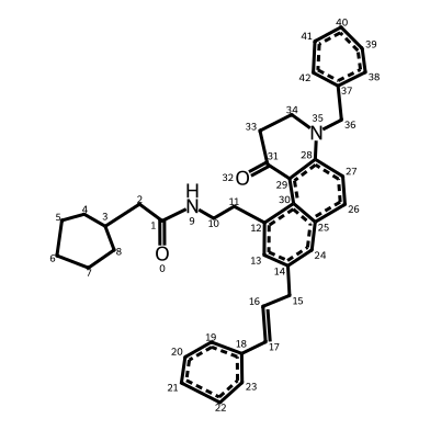 O=C(CC1CCCCC1)NCCc1cc(C/C=C/c2ccccc2)cc2ccc3c(c12)C(=O)CCN3Cc1ccccc1